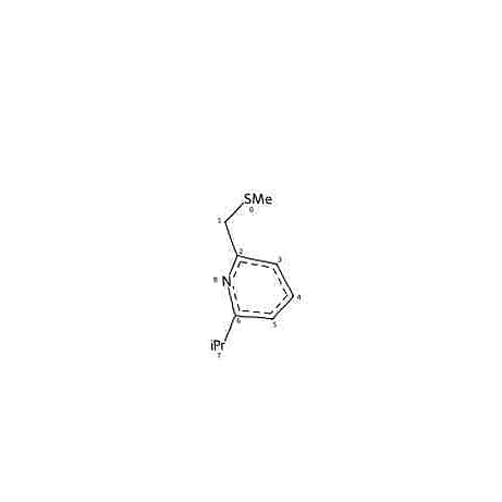 CSCc1cccc(C(C)C)n1